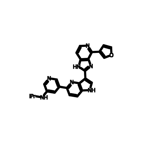 CC(C)Nc1cncc(-c2ccc3[nH]cc(-c4nc5c(-c6ccoc6)nccc5[nH]4)c3n2)c1